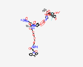 CCCC1O[C@@H]2C[C@H]3[C@@H]4C[C@H](F)C5=CC(=O)C=C[C@]5(C)[C@@]4(F)[C@@H](O)C[C@]3(C)[C@]2(C(=O)COC(=O)N2CCN(C(=O)OCc3ccc(NC(=O)[C@H](CCCNC(N)=O)NC(=O)[C@@H](NC(=O)CCOCCOCCOCCOCCNC(=O)CCC(=O)N4Cc5ccccc5/C=C(/C)c5ccccc54)C(C)C)cc3)CC2)O1